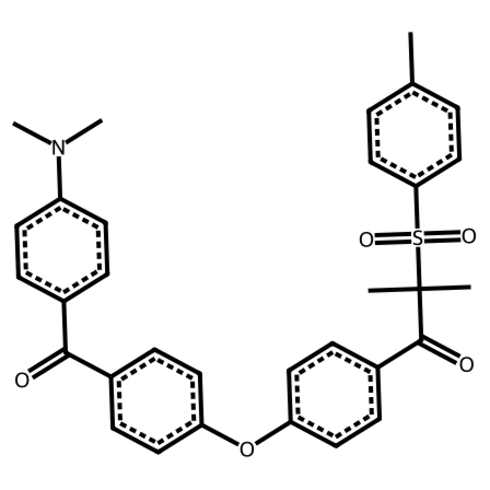 Cc1ccc(S(=O)(=O)C(C)(C)C(=O)c2ccc(Oc3ccc(C(=O)c4ccc(N(C)C)cc4)cc3)cc2)cc1